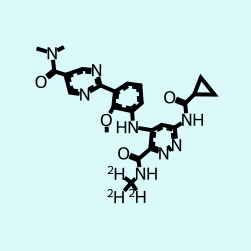 [2H]C([2H])([2H])NC(=O)c1nnc(NC(=O)C2CC2)cc1Nc1cccc(-c2ncc(C(=O)N(C)C)cn2)c1OC